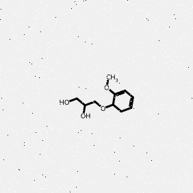 COC1=CC=CCC1OCC(O)CO